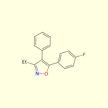 CCc1noc(-c2ccc(F)cc2)c1-c1ccccc1